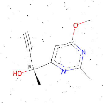 C#C[C@@](C)(O)c1cc(OC)nc(C)n1